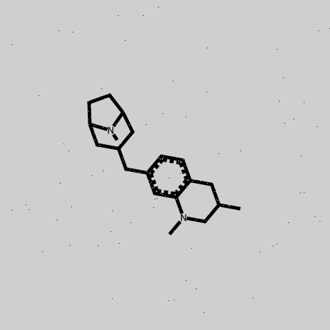 CC1Cc2ccc(CC3CC4CCC(C3)N4C)cc2N(C)C1